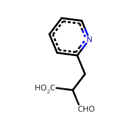 O=CC(Cc1ccccn1)C(=O)O